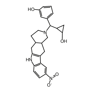 O=[N+]([O-])c1ccc2[nH]c3c(c2c1)CC1CN(C(c2cccc(O)c2)C2CC2O)CCC1C3